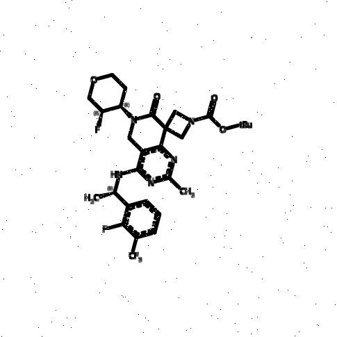 Cc1nc(N[C@H](C)c2cccc(C(F)(F)F)c2F)c2c(n1)C1(CN(C(=O)OC(C)(C)C)C1)C(=O)N([C@@H]1CCOC[C@@H]1F)C2